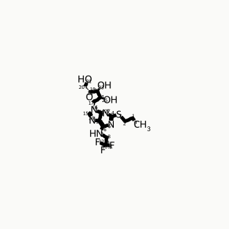 CCCSc1nc(NCC(F)(F)F)c2ncn([C@@H]3O[C@H](CO)[C@@H](O)[C@H]3O)c2n1